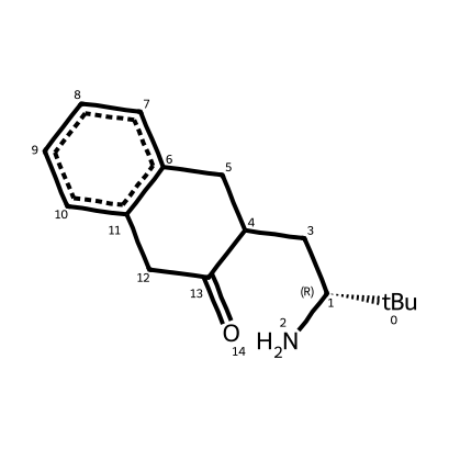 CC(C)(C)[C@H](N)CC1Cc2ccccc2CC1=O